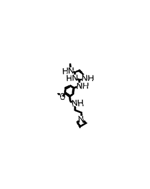 CNC1CCNC(Nc2ccc(OC)c(CNCCN3CCC3)c2)N1